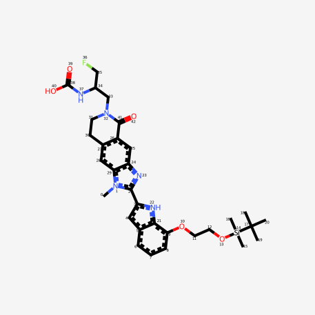 Cn1c(-c2cc3cccc(OCCO[Si](C)(C)C(C)(C)C)c3[nH]2)nc2cc3c(cc21)CCN(CC(CF)NC(=O)O)C3=O